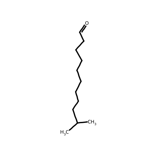 CC(C)CCCCCCCCC=O